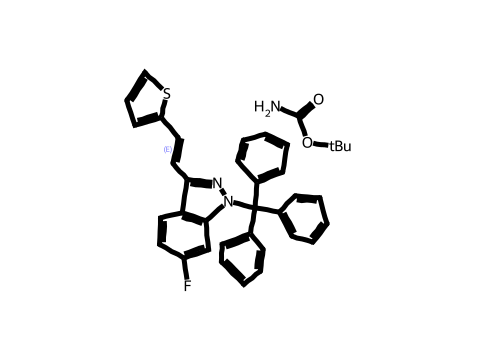 CC(C)(C)OC(N)=O.Fc1ccc2c(/C=C/c3cccs3)nn(C(c3ccccc3)(c3ccccc3)c3ccccc3)c2c1